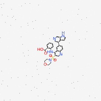 O=C(O)c1ccccc1Nc1c(S(=O)(=O)N2CCOCC2)cnc2ccc(-c3cncc4[nH]ccc34)cc12